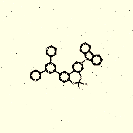 CC1(C)Oc2cc(-n3c4ccccc4c4ccccc43)ccc2-c2cc(-c3cc(-c4cccnc4)cc(-c4cccnc4)c3)ccc2O1